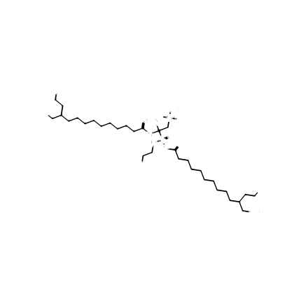 CCCOP(=O)(NC(=O)CCCCCCCCCC(CC)CCC)C(O)(C[N+](C)(C)C)NC(=O)CCCCCCCCCC(CC)CCC